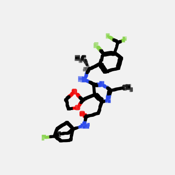 Cc1nc(CC(=O)NC23CCC(F)(CC2)CC3)c(C2OCCO2)c(N[C@H](C)c2cccc(C(F)F)c2F)n1